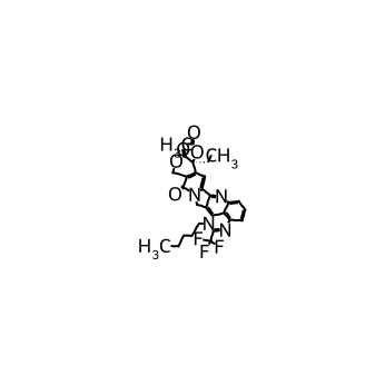 CCCCCN1C(C(F)(F)F)=Nc2cccc3nc4c(c1c23)Cn1c-4cc2c(c1=O)COC(=O)[C@@]2(CC)OC(C)=O